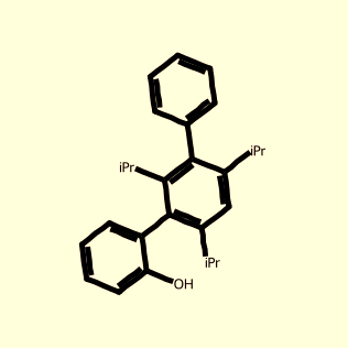 CC(C)c1cc(C(C)C)c(-c2ccccc2O)c(C(C)C)c1-c1ccccc1